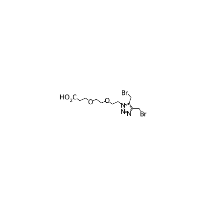 O=C(O)CCOCCOCCn1nnc(CBr)c1CBr